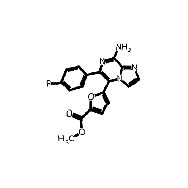 COC(=O)c1ccc(-c2c(-c3ccc(F)cc3)nc(N)c3nccn23)o1